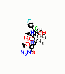 Cc1cc2cc(C(N)=O)cc(OC3CC3)c2nc1CC(O)(c1cc(C(C)(C)O)c(Cl)c(-c2ccc(F)cc2)n1)C1CC1